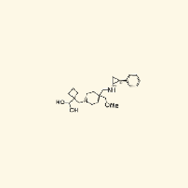 COCC1(CN[C@@H]2C[C@H]2c2ccccc2)CCN(CC2(C(O)O)CCC2)CC1